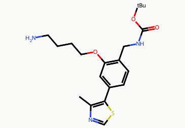 Cc1ncsc1-c1ccc(CNC(=O)OC(C)(C)C)c(OCCCCN)c1